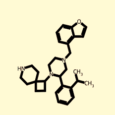 CC(C)c1ccccc1C1CN(Cc2cccc3occc23)CCN1C1CCC12CCNCC2